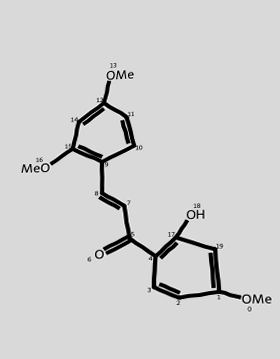 COc1ccc(C(=O)C=Cc2ccc(OC)cc2OC)c(O)c1